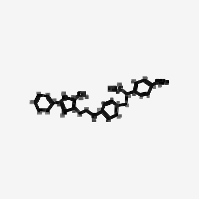 COc1ccc(C(Cc2ccc(OCCc3nc(-c4ccccc4)oc3C)cc2)C(=O)O)cc1